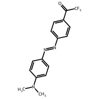 CN(C)c1ccc(N=Nc2ccc(C(=O)C(F)(F)F)cc2)cc1